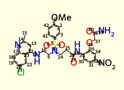 COc1ccc(S(=O)(=O)N(CCNc2cc(C)nc3ccc(Cl)cc23)CCC(=O)Nc2ccc([N+](=O)[O-])cc2OCC(N)=O)cc1